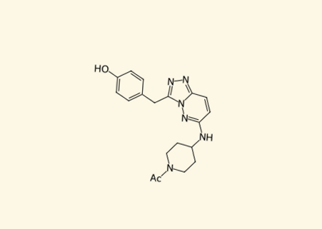 CC(=O)N1CCC(Nc2ccc3nnc(Cc4ccc(O)cc4)n3n2)CC1